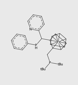 CC(C)(C)P(C[C]12[CH]3[CH]4[CH]5[C]1(C(Pc1ccccc1)c1ccccn1)[Fe]43521678[CH]2[CH]1[CH]6[CH]7[CH]28)C(C)(C)C